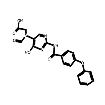 O=CN(CC(=O)O)c1cnc(NC(=O)c2ccc(Oc3ccccc3)cc2)nc1O